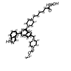 CSOON1CCN(Cc2cc3nc(-c4cccc5[nH]ncc45)nc(N4CCN(CCCCCC(=O)NO)CC4)c3s2)CC1